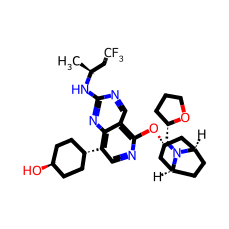 C[C@@H](CC(F)(F)F)Nc1ncc2c(O[C@@H]3C[C@H]4CC[C@@H](C3)N4C[C@@H]3CCCO3)ncc([C@H]3CC[C@H](O)CC3)c2n1